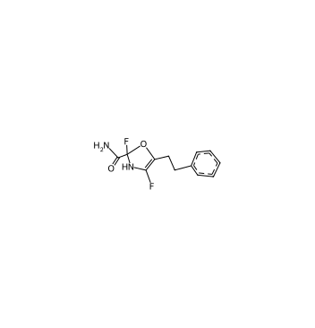 NC(=O)C1(F)NC(F)=C(CCc2ccccc2)O1